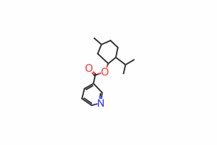 CC1CCC(C(C)C)C(OC(=O)c2cccnc2)C1